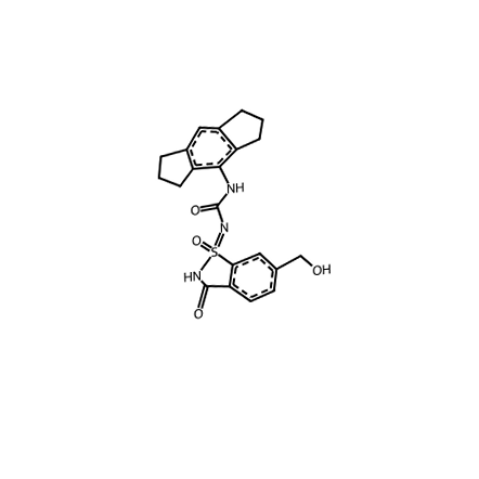 O=C(N=S1(=O)NC(=O)c2ccc(CO)cc21)Nc1c2c(cc3c1CCC3)CCC2